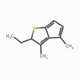 CCC1SC2=CC=C(C)C2=C1C